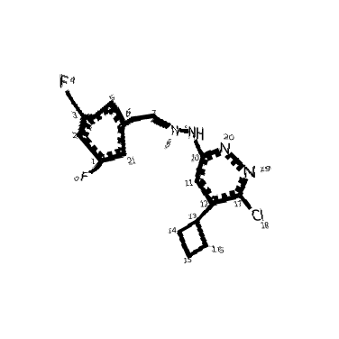 Fc1cc(F)cc(/C=N/Nc2cc(C3CCC3)c(Cl)nn2)c1